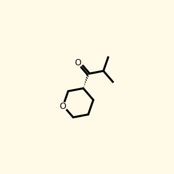 CC(C)C(=O)[C@@H]1CCCOC1